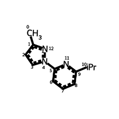 Cc1ccn(-c2cccc(C(C)C)n2)n1